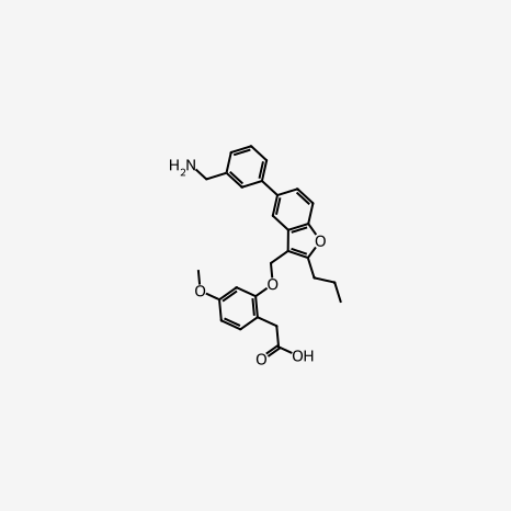 CCCc1oc2ccc(-c3cccc(CN)c3)cc2c1COc1cc(OC)ccc1CC(=O)O